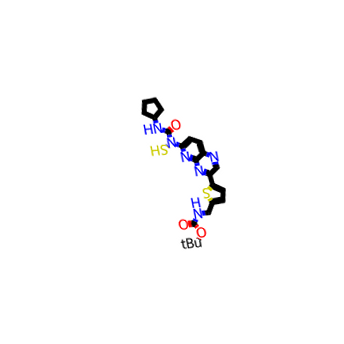 CC(C)(C)OC(=O)NCc1ccc(-c2cnc3ccc(N(S)C(=O)NC4CCCC4)nc3n2)s1